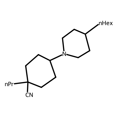 CCCCCCC1CCN(C2CCC(C#N)(CCC)CC2)CC1